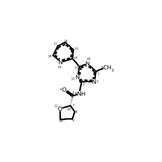 Cc1nc(NC(=O)[C@@H]2CCCO2)nc(-c2ccccn2)n1